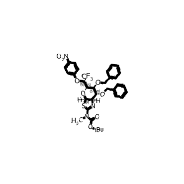 CN(C(=O)OC(C)(C)C)C1=N[C@@H]2[C@@H](OCc3ccccc3)[C@H](OCc3ccccc3)[C@@H]([C@H](Oc3ccc([N+](=O)[O-])cc3)C(F)(F)F)O[C@@H]2S1